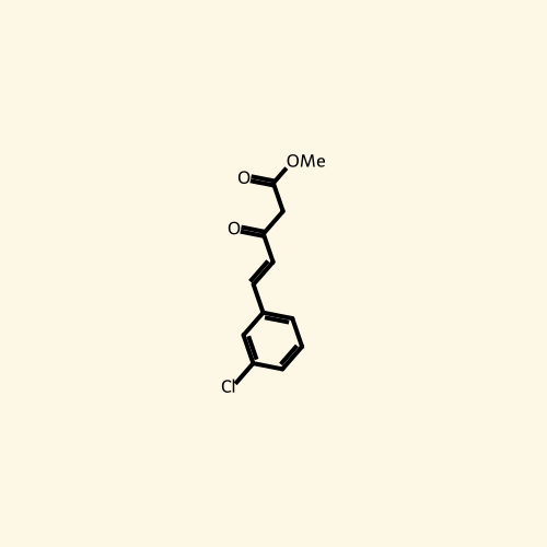 COC(=O)CC(=O)C=Cc1cccc(Cl)c1